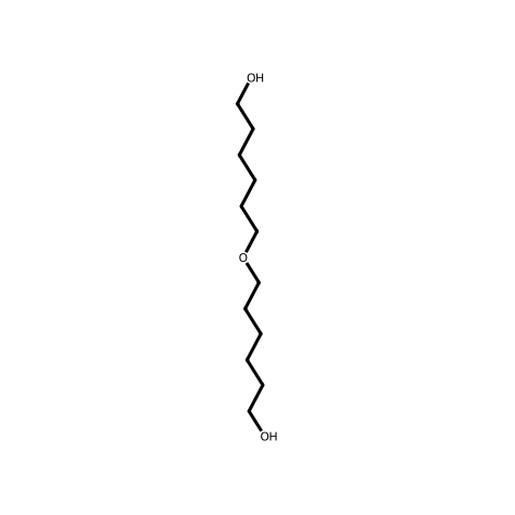 OCCCCCCOCCCCCCO